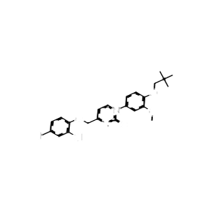 COc1cc(-n2ccc(COc3ccc(Cl)cc3Cl)nc2=O)ccc1OCC(C)(C)C